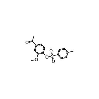 COc1cc(C(C)=O)ccc1OS(=O)(=O)c1ccc(C)cc1